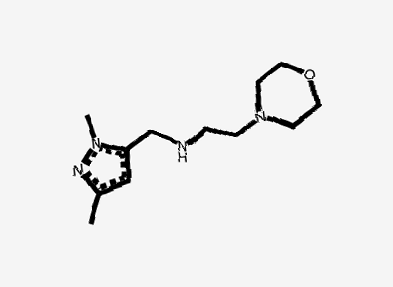 Cc1cc(CNCCN2CCOCC2)n(C)n1